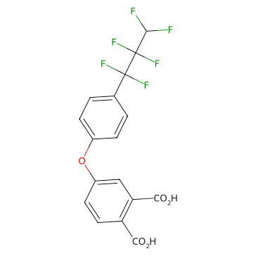 O=C(O)c1ccc(Oc2ccc(C(F)(F)C(F)(F)C(F)F)cc2)cc1C(=O)O